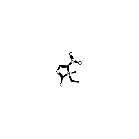 CC[N+]1(C)C([N+](=O)[O-])=CN=C1Cl